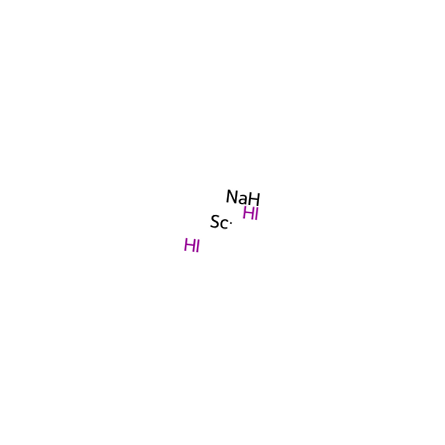 I.I.[NaH].[Sc]